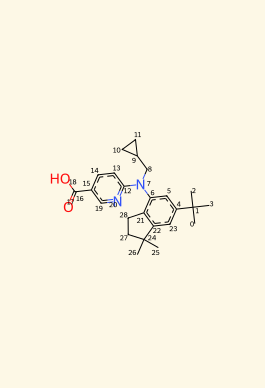 CC(C)(C)c1cc(N(CC2CC2)c2ccc(C(=O)O)cn2)c2c(c1)C(C)(C)CC2